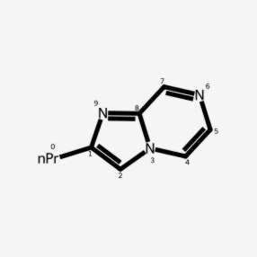 CCCc1cn2ccncc2n1